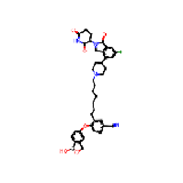 N#Cc1ccc(Oc2ccc3c(c2)COB3O)c(CCCCCCCN2CCC(c3cc(F)cc4c3CN(C3CCC(=O)NC3=O)C4=O)CC2)c1